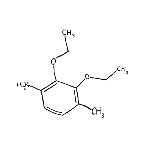 CCOc1c(C)ccc(N)c1OCC